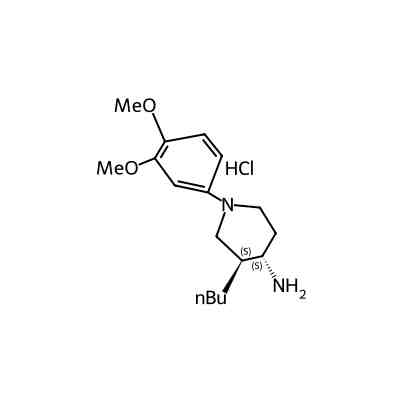 CCCC[C@H]1CN(c2ccc(OC)c(OC)c2)CC[C@@H]1N.Cl